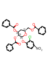 O=C(OC[C@@H]1C[C@H](OC(=O)c2ccccc2)[C@@H](OC(=O)c2ccccc2)[C@@H](Oc2ccc([N+](=O)[O-])cc2Cl)O1)c1ccccc1